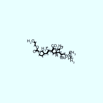 C=CCOC(=O)N1CCC(C=C(C)C2=C(C(=O)O)N3C(=O)[C@@H]([C@@H](CO[SiH](C)C)C(C)(C)C)[C@H]3C2)C1